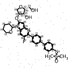 CS(C)(=O)=Nc1ccc(-c2ccc(-c3nc4cc(O[C@@H]5CO[C@H](CO)[C@@H]5O)n(C5CCCCO5)c4cc3F)cc2)cc1